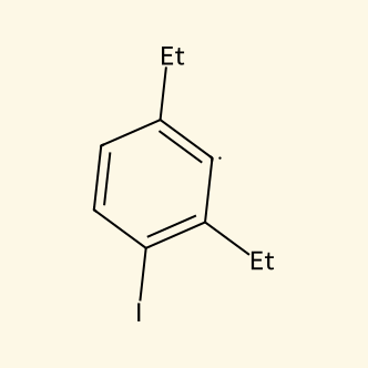 CCc1[c]c(CC)c(I)cc1